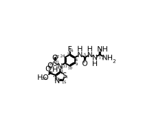 N=C(N)NNC(=O)Nc1ccc(N(c2scnc2C(=O)O)[SH](=O)=O)cc1F